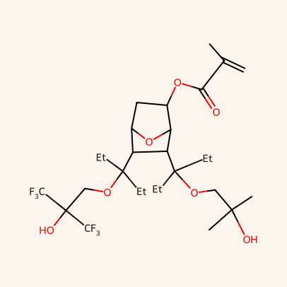 C=C(C)C(=O)OC1CC2OC1C(C(CC)(CC)OCC(C)(C)O)C2C(CC)(CC)OCC(O)(C(F)(F)F)C(F)(F)F